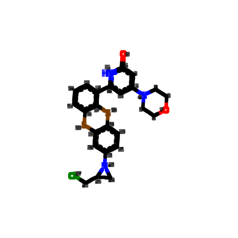 O=c1cc(N2CCOCC2)cc(-c2cccc3c2Sc2ccc(N4CC4CCl)cc2S3)[nH]1